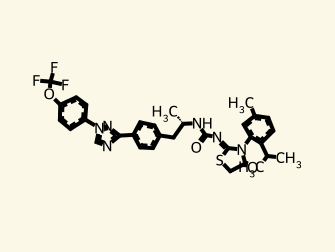 Cc1ccc(C(C)C)c(N2C(=O)CSC2=NC(=O)N[C@@H](C)Cc2ccc(-c3ncn(-c4ccc(OC(F)(F)F)cc4)n3)cc2)c1